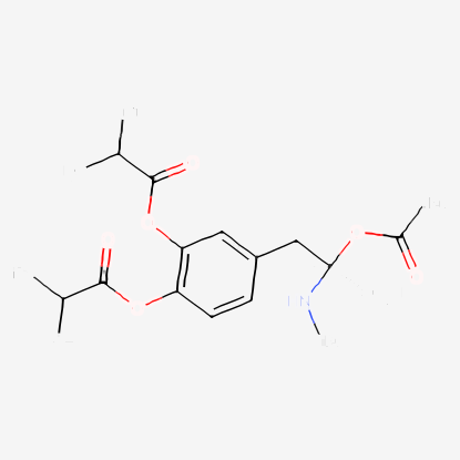 CCC(C)N[C@@](Cc1ccc(OC(=O)C(C)C(C)C)c(OC(=O)C(C)C(C)C)c1)(OC(=O)C(C)CC)C(=O)O